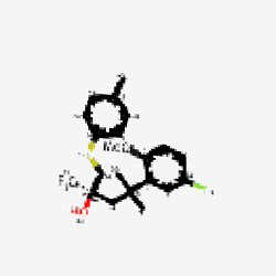 COc1ccc(F)cc1C(C)(C)C[C@@](O)(CSc1ccc(C)cc1)C(F)(F)F